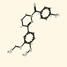 CCOc1cc(C2=NN(C(=O)c3ccc(N)cc3)CCC2)ccc1OC